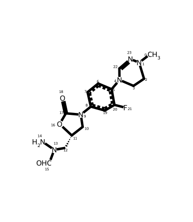 CN1CCN(c2ccc(N3C[C@H](CN(N)C=O)OC3=O)cc2F)C=N1